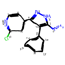 Nc1[nH]nc(-c2ccnc(Cl)c2)c1-c1ccccc1